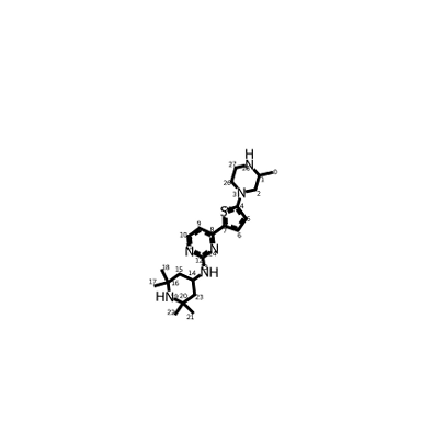 CC1CN(c2ccc(-c3ccnc(NC4CC(C)(C)NC(C)(C)C4)n3)s2)CCN1